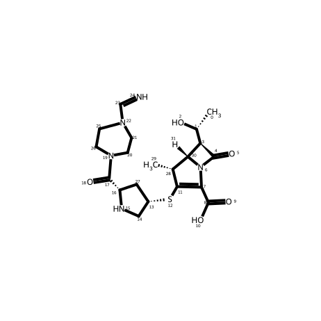 C[C@@H](O)[C@H]1C(=O)N2C(C(=O)O)=C(S[C@@H]3CN[C@H](C(=O)N4CCN(C=N)CC4)C3)[C@H](C)[C@H]12